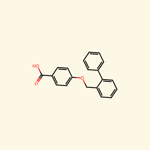 O=C(O)c1ccc(OCc2ccccc2-c2ccccc2)cc1